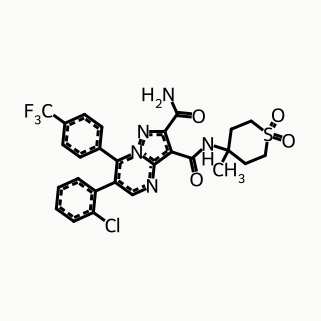 CC1(NC(=O)c2c(C(N)=O)nn3c(-c4ccc(C(F)(F)F)cc4)c(-c4ccccc4Cl)cnc23)CCS(=O)(=O)CC1